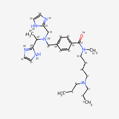 CCCN(CCC)CCCCN(C)C(=O)c1ccc(CN(Cc2ncc[nH]2)C(C)c2ncc[nH]2)cc1